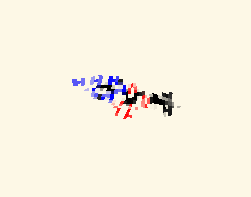 CC[Si](C#COC[C@H]1O[C@@H](n2cnc3c(N)ncnc32)[C@H](O)[C@@H]1O)(CC)CC